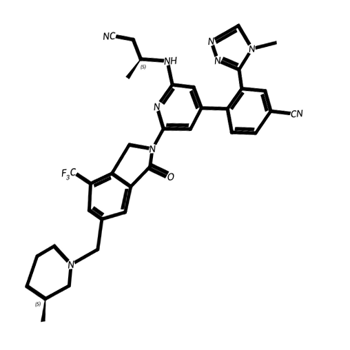 C[C@H]1CCCN(Cc2cc3c(c(C(F)(F)F)c2)CN(c2cc(-c4ccc(C#N)cc4-c4nncn4C)cc(N[C@@H](C)CC#N)n2)C3=O)C1